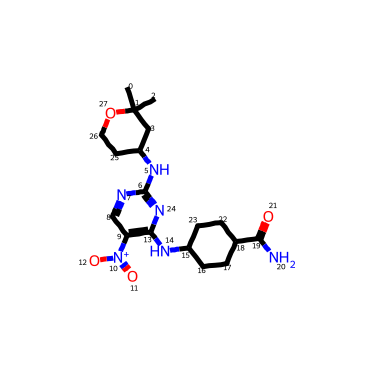 CC1(C)CC(Nc2ncc([N+](=O)[O-])c(NC3CCC(C(N)=O)CC3)n2)CCO1